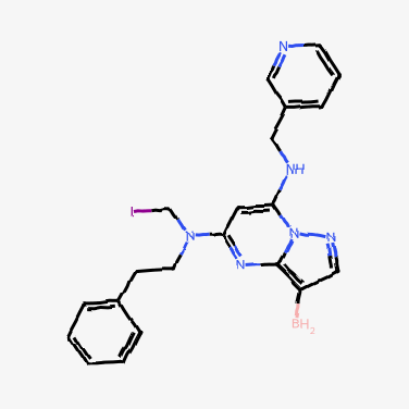 Bc1cnn2c(NCc3cccnc3)cc(N(CI)CCc3ccccc3)nc12